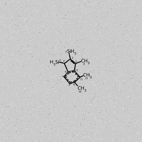 CC1=C([SiH3])C([SiH3])c2ccc(C)c(C)c21